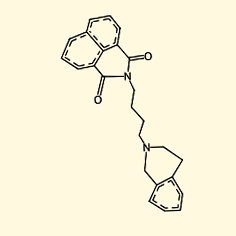 O=C1c2cccc3cccc(c23)C(=O)N1CCCCN1CCc2ccccc2C1